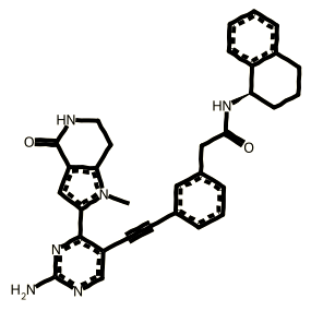 Cn1c(-c2nc(N)ncc2C#Cc2cccc(CC(=O)N[C@@H]3CCCc4ccccc43)c2)cc2c1CCNC2=O